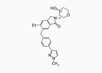 CCc1cc2c(cc1Cc1ccc(-c3ccn(C)n3)cc1)C(=O)N([C@H]1COCC[C@@H]1O)C2